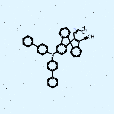 C#CC1=C(/C=C\C)C2(c3ccccc31)c1ccccc1-c1cc(N(c3ccc(-c4ccccc4)cc3)c3ccc(-c4ccccc4)cc3)ccc12